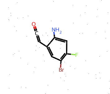 Nc1cc(F)c(Br)cc1C=C=O